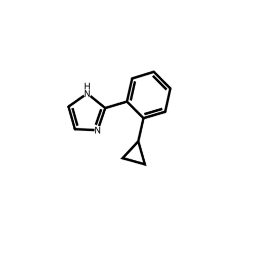 c1ccc(C2CC2)c(-c2ncc[nH]2)c1